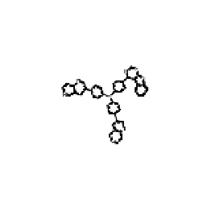 c1ccc2c(c1)sc1ncnc(-c3ccc(N(c4ccc(-c5cnc6ccncc6c5)cc4)c4ccc(-c5cnc6ccncc6c5)cc4)cc3)c12